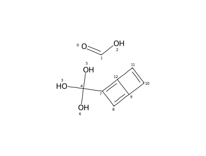 O=CO.OC(O)(O)c1cc2ccc1-2